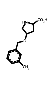 Cc1cccc(COC2CNC(C(=O)O)C2)c1